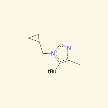 Cc1ncn(CC2CC2)c1C(C)(C)C